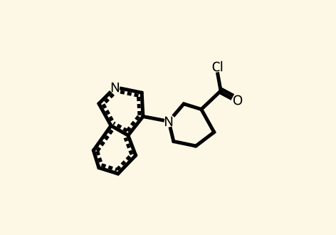 O=C(Cl)C1CCCN(c2cncc3ccccc23)C1